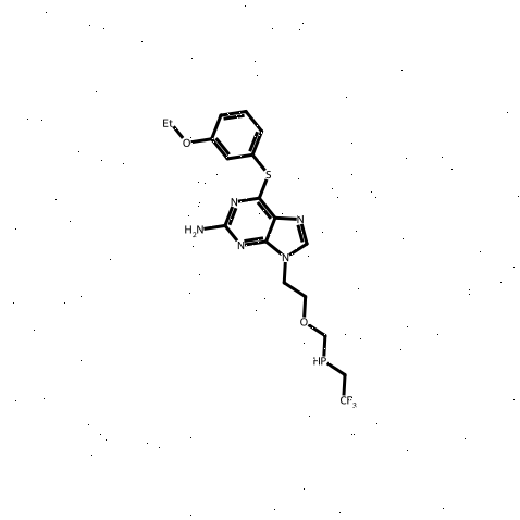 CCOc1cccc(Sc2nc(N)nc3c2ncn3CCOCPCC(F)(F)F)c1